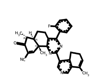 CC1=CCCc2c1cncc2-c1nc(-c2ccccc2F)c2c(n1)[C@]1(C)C=C(C#N)C(=O)[C@H](C)[C@H]1CC2